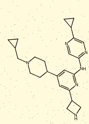 c1nc(C2CC2)cnc1Nc1cc(C2CCN(CC3CC3)CC2)cc(C2CNC2)n1